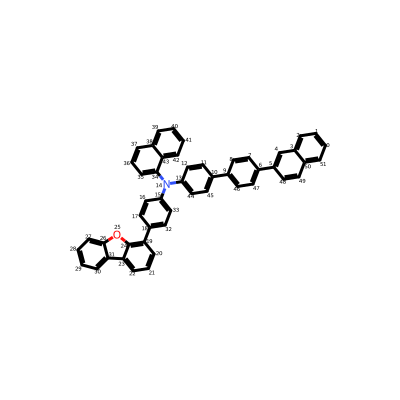 c1ccc2cc(-c3ccc(-c4ccc(N(c5ccc(-c6cccc7c6oc6ccccc67)cc5)c5cccc6ccccc56)cc4)cc3)ccc2c1